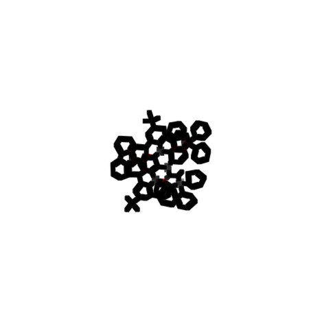 C=CN(c1cc(-n2c3ccccc3c3ccccc32)cc2c1B([C@H](C)C(C)[Si](c1ccccc1)(c1ccccc1)c1ccccc1)c1ccc([Si](c3ccccc3)(c3ccccc3)c3ccccc3)cc1N2c1c(-c2ccccc2)cc(C(C)(C)C)cc1-c1ccccc1)c1c(-c2ccccc2)cc(C(C)(C)C)cc1-c1ccccc1